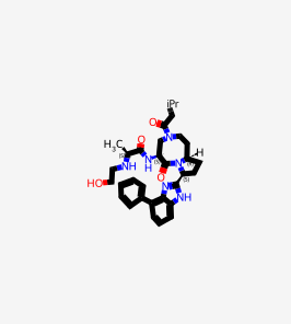 CC(C)CC(=O)N1CC[C@H]2CC[C@@H](c3nc4c(-c5ccccc5)cccc4[nH]3)N2C(=O)[C@@H](NC(=O)[C@H](C)NCCO)C1